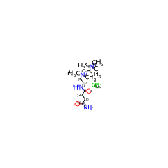 C[N+](C)(C)CC[N+](C)(C)CCNC(=O)C[CH]C([NH])=O.[Cl-].[Cl-]